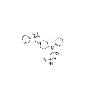 [2H]C([2H])([2H])CC(=O)N(c1ccccc1)C1CCN(CC([2H])(O)c2ccccc2)CC1